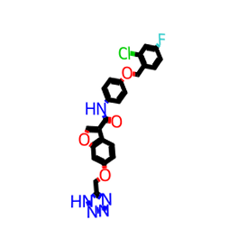 O=C(Nc1ccc(OCc2ccc(F)cc2Cl)cc1)c1coc2cc(OCc3nnn[nH]3)ccc12